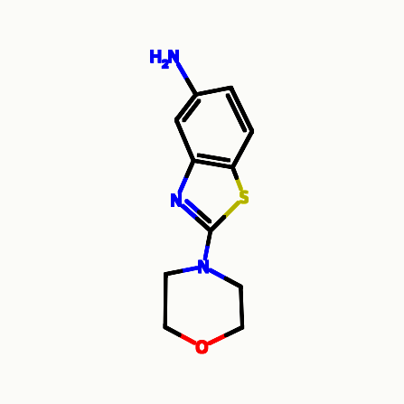 Nc1ccc2sc(N3CCOCC3)nc2c1